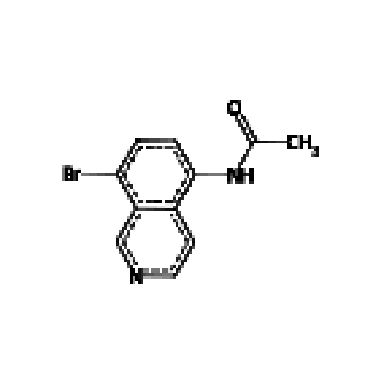 CC(=O)Nc1ccc(Br)c2cnccc12